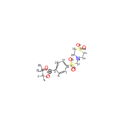 CC1(C)OB(c2ccc(S(=O)(=O)CN3CCS(=O)(=O)CC3)cc2)OC1(C)C